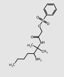 CCCCC(N)C(C)(C)NC(=O)COS(=O)(=O)c1ccccc1